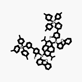 Cc1ccc([Si](c2ccc(C)cc2)(c2ccc(C)cc2)c2cccc(-c3ccc(N(c4cc(C(C)C)c5ccc6c(N(c7ccc(-c8cccc([Si](c9ccc(C)cc9)(c9ccc(C)cc9)c9ccc(C)cc9)c8)cc7F)c7cccc8c7oc7ccccc78)cc(C(C)C)c7ccc4c5c76)c4cccc5c4oc4ccccc45)c(F)c3)c2)cc1